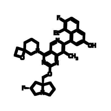 CCc1c(F)ccc2cc(O)cc(-c3ncc4c(N5CCCC6(CCO6)C5)nc(OC[C@@]56CCCN5C[C@H](F)C6)nc4c3C)c12